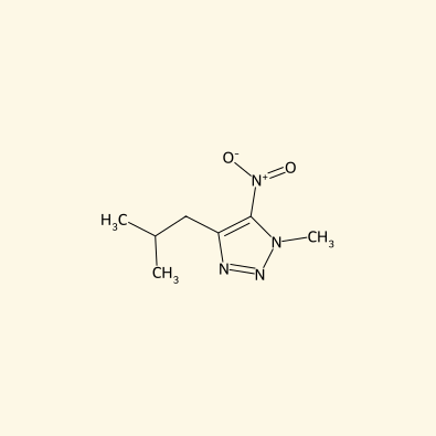 CC(C)Cc1nnn(C)c1[N+](=O)[O-]